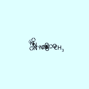 COc1ccc(S(=O)(=O)N2CCN(CCc3nc(N4CCCc5ccccc54)c4ccccc4n3)CC2)cc1